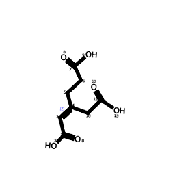 O=C(O)/C=C(/CCC(=O)O)CC(=O)O